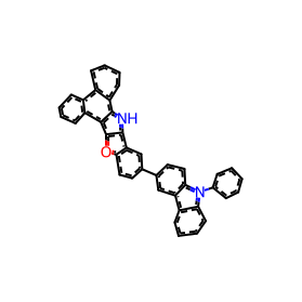 c1ccc(-n2c3ccccc3c3cc(-c4ccc5oc6c([nH]c7c8ccccc8c8ccccc8c76)c5c4)ccc32)cc1